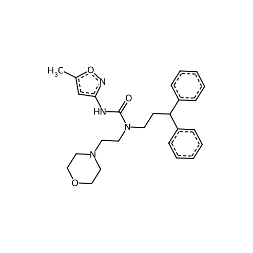 Cc1cc(NC(=O)N(CCC(c2ccccc2)c2ccccc2)CCN2CCOCC2)no1